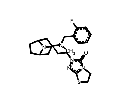 CN(Cc1ccccc1F)C1CC2CCC(C1)N2CCCn1nc2n(c1=O)CCS2